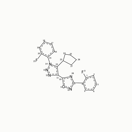 Fc1ccccc1-c1noc(-c2nnn(-c3ccccc3F)c2C2CCCC2)n1